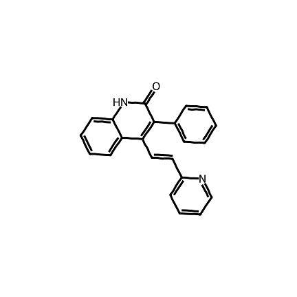 O=c1[nH]c2ccccc2c(C=Cc2ccccn2)c1-c1ccccc1